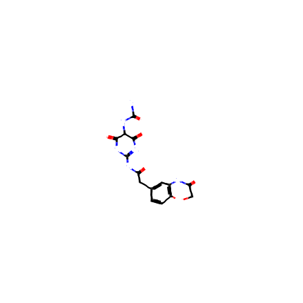 NC(=O)NC1C(=O)N=C(NC(=O)Cc2ccc3c(c2)NC(=O)CO3)NC1=O